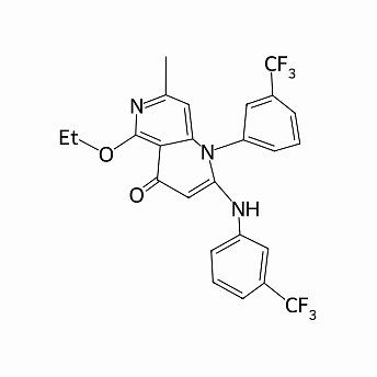 CCOc1nc(C)cc2c1c(=O)cc(Nc1cccc(C(F)(F)F)c1)n2-c1cccc(C(F)(F)F)c1